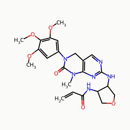 C=CC(=O)NC1COCC1Nc1ncc2c(n1)N(C)C(=O)N(c1cc(OC)c(OC)c(OC)c1)C2